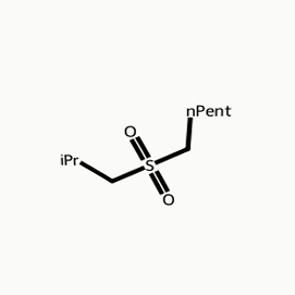 [CH2]CCCCCS(=O)(=O)CC(C)C